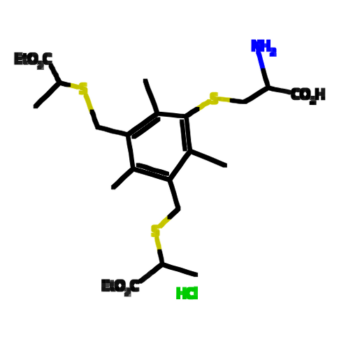 CCOC(=O)C(C)SCc1c(C)c(CSC(C)C(=O)OCC)c(C)c(SCC(N)C(=O)O)c1C.Cl